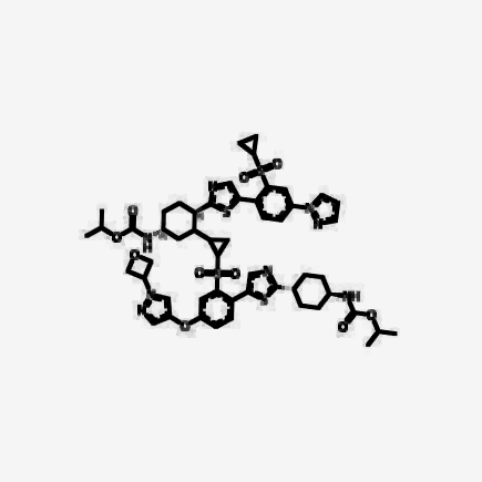 CC(C)OC(=O)N[C@@H]1CC[C@@H](c2ncc(-c3ccc(-n4cccn4)cc3S(=O)(=O)C3CC3)s2)C(C2CC2S(=O)(=O)c2cc(Oc3cnn(C4COC4)c3)ccc2-c2cnc([C@H]3CC[C@H](NC(=O)OC(C)C)CC3)s2)C1